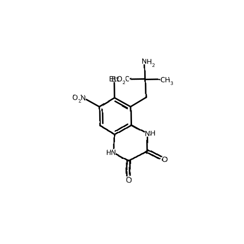 CCOC(=O)C(C)(N)Cc1c(CC)c([N+](=O)[O-])cc2[nH]c(=O)c(=O)[nH]c12